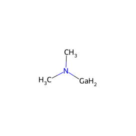 C[N](C)[GaH2]